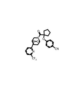 N#Cc1ccc(OC2(C(=O)N3CC4CCC3CN4c3cccc(C(F)(F)F)n3)CCCC2)cc1